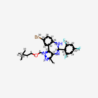 Cc1nn(COCC[Si](C)(C)C)c2c1N=C(c1c(F)cc(F)cc1F)Nc1ccc(Br)cc1-2